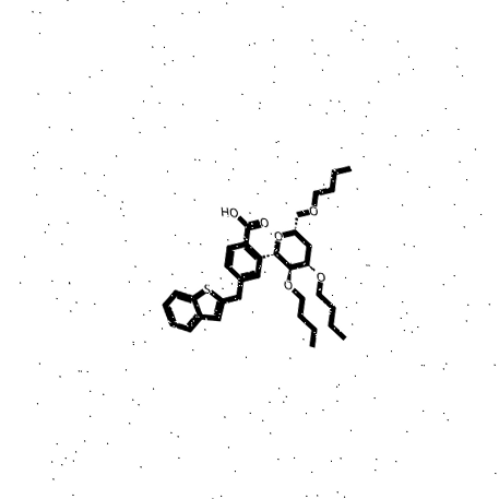 CCCCOC[C@@H]1C[C@H](OCCCC)[C@@H](OCCCC)[C@H](c2cc(Cc3cc4ccccc4s3)ccc2C(=O)O)O1